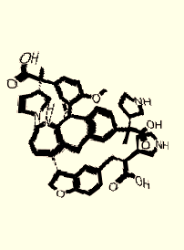 COc1ccc(C(C)(C(=O)O)[C@H]2CCNC2)cc1CC1=C(Cc2cc(C(C)(C(=O)O)[C@H]3CCNC3)ccc2OC)C([C@H]2COc3ccc(C[C@H](C(=O)O)[C@H]4CCNC4)cc32)=CC=CN1